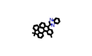 Cc1ccc2c(-c3cnc4ccccc4n3)c3ccccc3c(-c3cccc4c3-c3ccccc3C4(C)C)c2c1